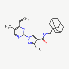 C=Cc1nc(-n2cc(C(=O)NCC34CC5CC(CC(C5)C3)C4)c(C)n2)ncc1C